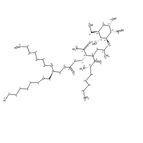 CCCCCCCCCCCCCCCCOC[C@H](COC(=O)CC[C@H](C(N)=O)N(CC(C)O[C@H]1[C@H](O)[C@@H](CO)O[C@H](O)[C@@H]1NC(C)=O)C(=O)[C@@H](N)CCCCN)OCCCCCCCCCCCCCCCC